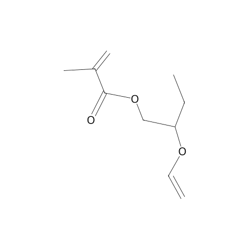 C=COC(CC)COC(=O)C(=C)C